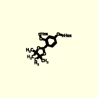 CCCCCCOc1ccc(B2OC(C)(C)C(C)(C)O2)c(OCCCCCC)c1